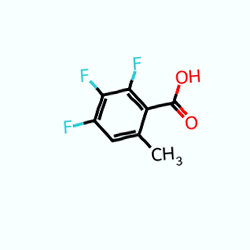 Cc1cc(F)c(F)c(F)c1C(=O)O